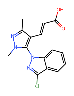 Cc1nn(C)c(-n2nc(Cl)c3ccccc32)c1/C=C/C(=O)O